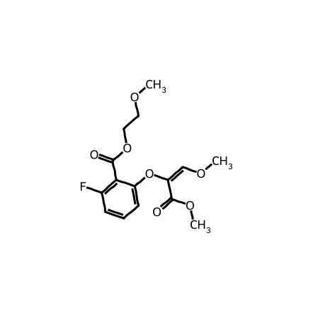 CO/C=C(/Oc1cccc(F)c1C(=O)OCCOC)C(=O)OC